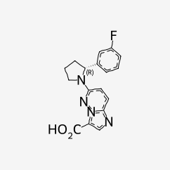 O=C(O)c1cnc2ccc(N3CCC[C@@H]3c3cccc(F)c3)nn12